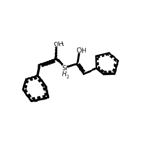 OC(=Cc1ccccc1)[SiH2]C(O)=Cc1ccccc1